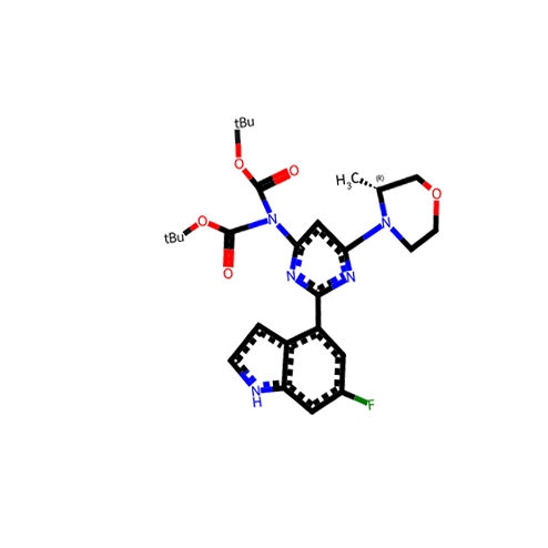 C[C@@H]1COCCN1c1cc(N(C(=O)OC(C)(C)C)C(=O)OC(C)(C)C)nc(-c2cc(F)cc3[nH]ccc23)n1